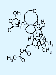 CC(=O)OC(=O)C[C@@H]1OC(C)(C)[C@@H]2CC(=O)[C@]3(C)[C@H](CC[C@@]4(C)[C@H](C5=CC(=O)OC5O)CCOC[C@H]5O[C@]543)[C@@]12C